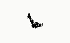 C#Cc1cnn(CCn2cnc(CNc3cccc4c3C(=O)N(C3CCC(=O)NC3=O)C4=O)c2)c1